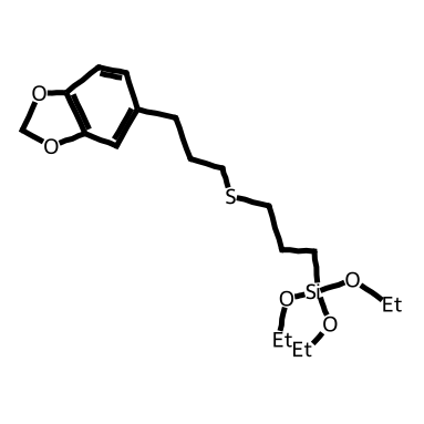 CCO[Si](CCCSCCCc1ccc2c(c1)OCO2)(OCC)OCC